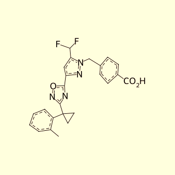 Cc1ccccc1C1(c2noc(-c3cc(C(F)F)n(Cc4ccc(C(=O)O)cc4)n3)n2)CC1